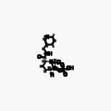 O=C(NCc1cccnc1)[C@H]1CC[C@H]2CN1C(=O)N2OS(=O)(=O)O